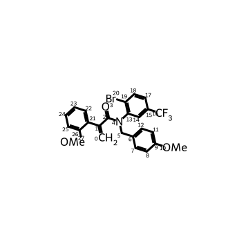 C=C(C(=O)N(Cc1ccc(OC)cc1)c1cc(C(F)(F)F)ccc1Br)c1ccccc1OC